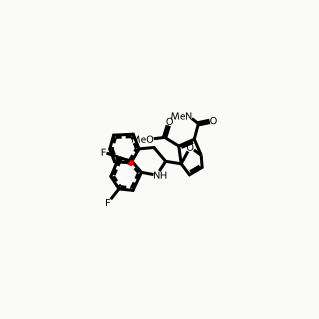 CNC(=O)C1=C(C(=O)OC)C2(C(Cc3ccccc3)Nc3cc(F)cc(F)c3)C=CC1O2